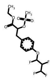 CCOC(=O)C(Cc1ccc(OC(F)C(F)C(F)F)cc1)OS(C)(=O)=O